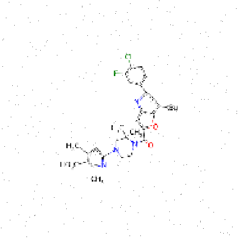 Cc1cc(N2CCN(C(=O)c3cc4nc(-c5ccc(Cl)c(F)c5)cc(C(C)(C)C)c4o3)C(C)(C)C2)nc(C)c1C(=O)O